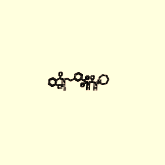 O=C(NN1CCCCCC1)NS(=O)(=O)c1cccc(CCNC(=O)c2ccccc2C(F)(F)F)c1